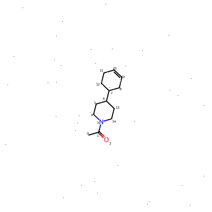 CC(=O)N1CCC(C2C[C]=CCC2)CC1